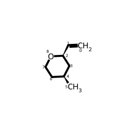 C=C[C@H]1C[C@@H](C)CCO1